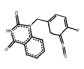 O=C=C1CC(Cn2c(=O)[nH]c(=O)c3ccccc32)=CC=C1F